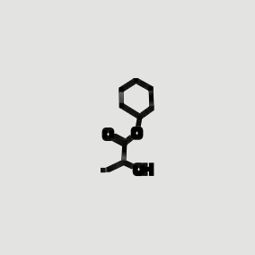 [CH2]C(O)C(=O)OC1CCCCC1